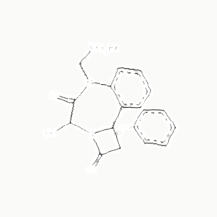 CCOC(=O)CN1C(=O)C(O)N2C(=O)C[C@]2(c2ccccc2)c2ccccc21